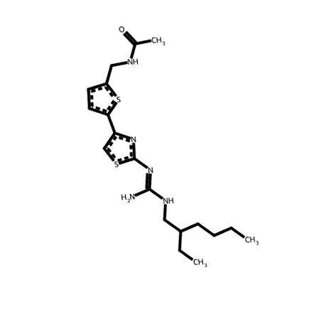 CCCCC(CC)CN/C(N)=N/c1nc(-c2ccc(CNC(C)=O)s2)cs1